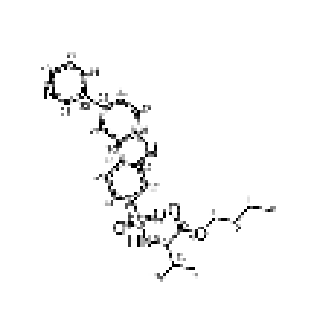 CCCCOC(=O)C(NS(=O)(=O)c1ccc2c(c1)oc1ccc(-c3cccnc3)cc12)C(C)C